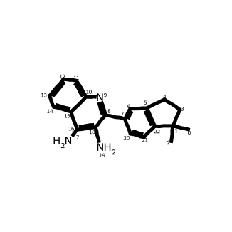 CC1(C)CCc2cc(-c3nc4ccccc4c(N)c3N)ccc21